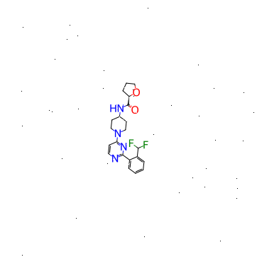 O=C(NC1CCN(c2ccnc(-c3ccccc3C(F)F)n2)CC1)[C@H]1CCCO1